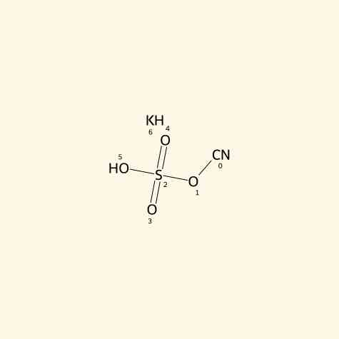 N#COS(=O)(=O)O.[KH]